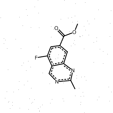 COC(=O)c1cc(F)c2cnc(C)nc2c1